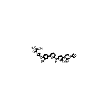 COc1nc(Nc2nccc(-c3ccc(OC4CN(C(=O)[C@H](C)O)C4)c(C#N)c3)n2)ccc1N1CCN(C2COC2)CC1